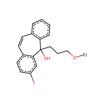 CCOCCCC1(O)c2ccccc2C=Cc2ccc(I)cc21